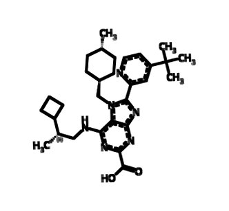 C[C@@H](CNc1nc(C(=O)O)nc2nc(-c3cc(C(C)(C)C)ccn3)n(C[C@H]3CC[C@H](C)CC3)c12)C1CCC1